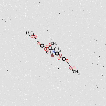 C=CC(=O)OCCCCOc1ccc(C(=O)Oc2ccc(/N=C(\C)c3cc(OC)c(OC(=O)c4ccc(OCCCCOC(=O)C=C)cc4)c(OC)c3)c(Br)c2)cc1